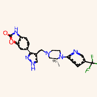 C[C@@H]1CN(Cc2c[nH]nc2-c2ccc3[nH]c(=O)oc3c2)CCN1c1ccc(C(F)(F)F)cn1